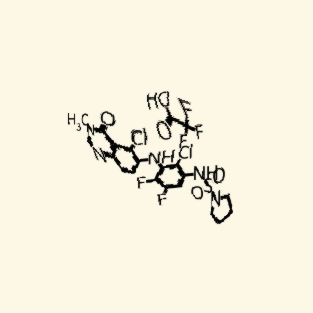 Cn1cnc2ccc(Nc3c(F)c(F)cc(NS(=O)(=O)N4CCCC4)c3Cl)c(Cl)c2c1=O.O=C(O)C(F)(F)F